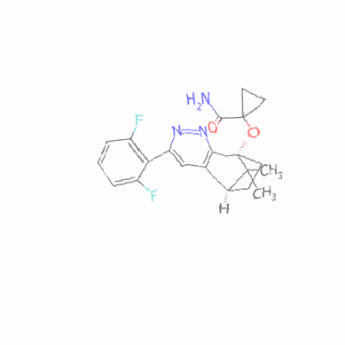 CC1(C)[C@H]2CC[C@]1(OC1(C(N)=O)CC1)c1nnc(-c3c(F)cccc3F)cc12